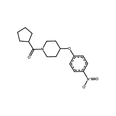 O=C(C1CCCC1)N1CCC(Oc2ccc([N+](=O)[O-])cc2)CC1